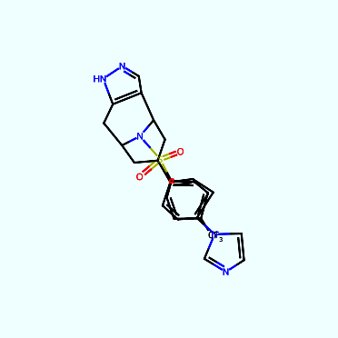 O=S(=O)(c1ccc(C(F)(F)F)cc1)N1C2Cc3[nH]ncc3C1CC(c1ccc(-n3ccnc3)cc1)C2